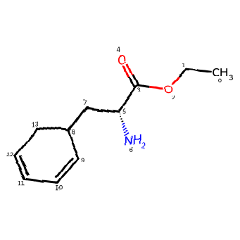 CCOC(=O)[C@H](N)CC1C=CC=CC1